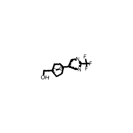 OCC12CCC(c3cnc(C(F)(F)F)nc3)(CC1)OC2